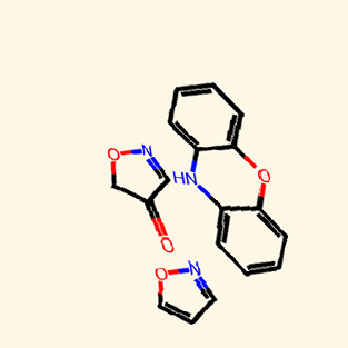 O=C1C=NOC1.c1ccc2c(c1)Nc1ccccc1O2.c1cnoc1